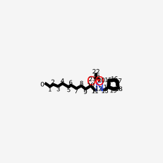 CCCCCCCCCCCCN(Cc1ccccc1)OC(C)=O